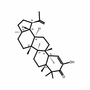 C=C(C)[C@@H]1CC[C@]2(C)CC[C@]3(C)[C@H](CC[C@]4(C)[C@@]5(C)C=C(O)C(=O)C(C)(C)[C@]5(C)CC[C@]43C)[C@@H]12